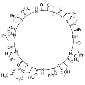 C/C=C/C[C@@H](C)[C@@H](O)[C@H]1C(=O)N[C@@H](CCC)C(=O)N(C)C(CO)C(=O)N(C)[C@@H](CC(C)C)C(=O)N[C@H](C(C)C)C(=O)N(C)[C@H](CC(C)C)C(=O)N[C@H](C)C(=O)N[C@@H](C)C(=O)N(C)[C@@H](CC(C)C)C(=O)N(C)[C@@H](CC(C)C)C(=O)N(C)[C@@H](C(C)C)C(=O)N1C